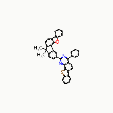 CC1(C)c2ccc(-c3nc(-c4ccccc4)c4ccc5c6ccccc6sc5c4n3)cc2-c2c1ccc1c2oc2ccccc21